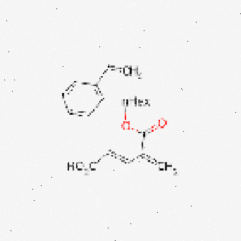 C=C(C=CC(=O)O)C(=O)OCCCCCC.C=Cc1ccccc1